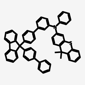 CC1(C)c2ccccc2Sc2cc(N(c3ccccc3)c3cccc(-c4ccc(C5(c6ccc(-c7ccccc7)cc6)c6ccccc6-c6ccccc65)cc4)c3)ccc21